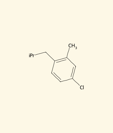 Cc1cc(Cl)ccc1CC(C)C